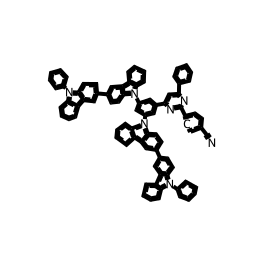 N#Cc1ccc(-c2nc(-c3ccccc3)cc(-c3cc(-n4c5ccccc5c5cc(-c6ccc7c(c6)c6ccccc6n7-c6ccccc6)ccc54)cc(-n4c5ccccc5c5cc(-c6ccc7c(c6)c6ccccc6n7-c6ccccc6)ccc54)c3)n2)cc1